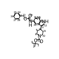 CC(C)(C)OC(=O)N1CCC(c2c[nH]c3ncc(NC(=O)OCc4ccccc4)cc23)CC1